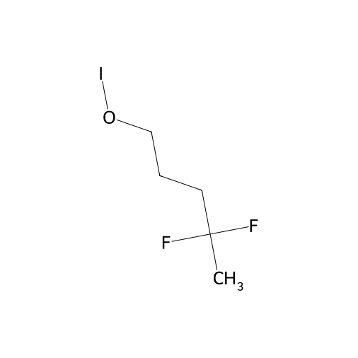 CC(F)(F)CCCOI